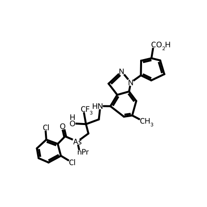 CCC[As](CC(O)(CNc1cc(C)cc2c1cnn2-c1cccc(C(=O)O)c1)C(F)(F)F)C(=O)c1c(Cl)cccc1Cl